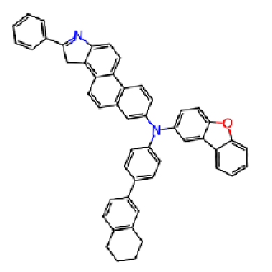 c1ccc(C2=Nc3ccc4c(ccc5cc(N(c6ccc(-c7ccc8c(c7)CCCC8)cc6)c6ccc7oc8ccccc8c7c6)ccc54)c3C2)cc1